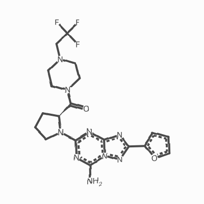 Nc1nc(N2CCC[C@H]2C(=O)N2CCN(CC(F)(F)F)CC2)nc2nc(-c3ccco3)nn12